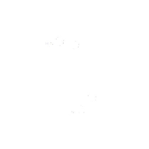 CCc1cc(CCCCCCCCCCCc2ccc(Cc3ccc(N)cc3)c(CC)c2)ccc1Cc1ccc(N)cc1